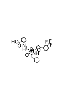 O=C(N[C@@H](CC1CCCCC1)C(=O)NCCNc1ccccc1C(=O)O)c1ccc(-c2cccc(C(F)(F)F)c2)o1